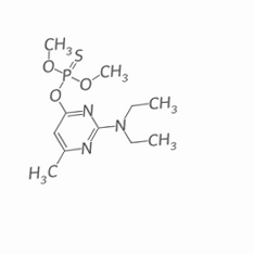 CCN(CC)c1nc(C)cc(OP(=S)(OC)OC)n1